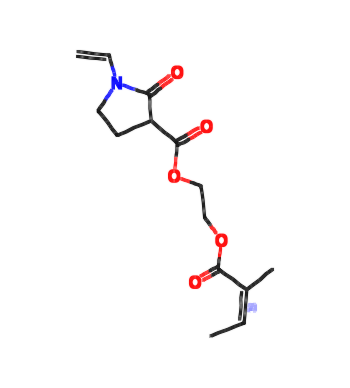 C=CN1CCC(C(=O)OCCOC(=O)/C(C)=C\C)C1=O